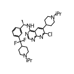 CC(C)N1CCC(c2cc3c(N[C@H](C)c4cccc(C(F)(F)C5CCN(C(C)C)CC5)c4)ncnc3nc2Cl)CC1